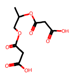 CC(COC(=O)CC(=O)O)OC(=O)CC(=O)O